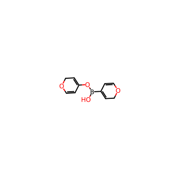 OB(OC1=CCOC=C1)C1=CCOC=C1